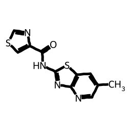 Cc1cnc2nc(NC(=O)c3cscn3)sc2c1